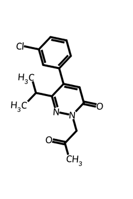 CC(=O)Cn1nc(C(C)C)c(-c2cccc(Cl)c2)cc1=O